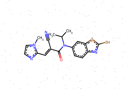 CC(C)N(C(=O)C(C#N)=Cc1nccn1C)c1ccc2nc(S)sc2c1